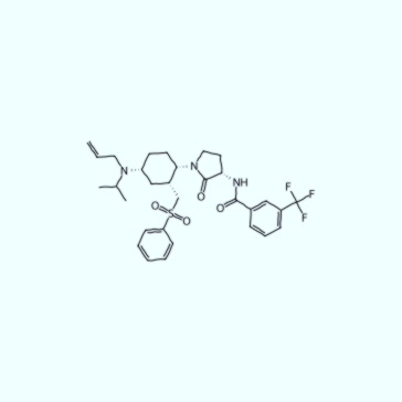 C=CCN(C(C)C)[C@@H]1CC[C@H](N2CC[C@H](NC(=O)c3cccc(C(F)(F)F)c3)C2=O)[C@H](CS(=O)(=O)c2ccccc2)C1